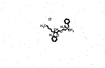 CCCCCC(C)(C)C(COCC[N+](C)(C)Cc1ccccc1)Oc1ccccc1.[Cl-]